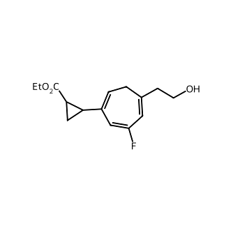 CCOC(=O)C1CC1C1=CCC(CCO)=CC(F)=C1